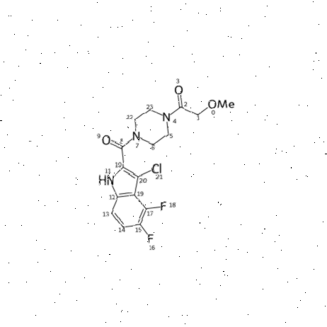 COCC(=O)N1CCN(C(=O)c2[nH]c3ccc(F)c(F)c3c2Cl)CC1